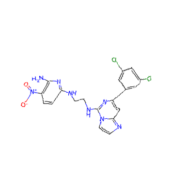 Nc1nc(NCCNc2nc(-c3cc(Cl)cc(Cl)c3)cc3nccn23)ccc1[N+](=O)[O-]